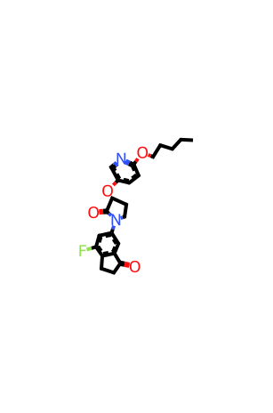 CCCCCOc1ccc(O[C@@H]2CCN(c3cc(F)c4c(c3)C(=O)CC4)C2=O)cn1